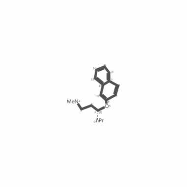 CCC[C@H](CCNC)Oc1ccc2ccccc2c1